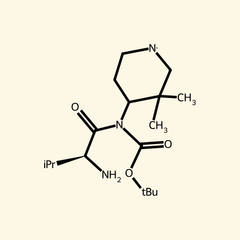 CC(C)[C@H](N)C(=O)N(C(=O)OC(C)(C)C)C1CC[N]CC1(C)C